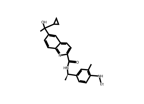 CCNc1ccc([C@@H](C)NC(=O)c2ccc3cc(C(C)(O)C4CC4)ccc3n2)cc1C